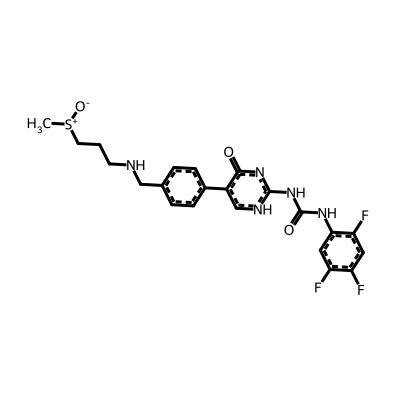 C[S+]([O-])CCCNCc1ccc(-c2c[nH]c(NC(=O)Nc3cc(F)c(F)cc3F)nc2=O)cc1